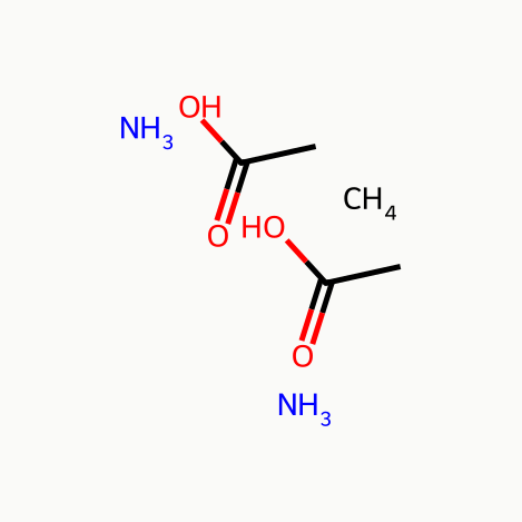 C.CC(=O)O.CC(=O)O.N.N